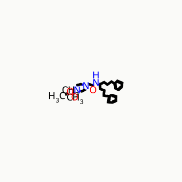 CC(C)(C)OC(=O)N1CCN(CC(=O)NC(CCCc2ccccc2)CCCc2ccccc2)CC1